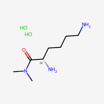 CN(C)C(=O)[C@@H](N)CCCCN.Cl.Cl